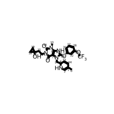 CC1=CNC(CN2c3c(n(C)c(=O)n(CCC4(O)CC4)c3=O)NC2Oc2cccc(OC(F)(F)F)c2)C=C1